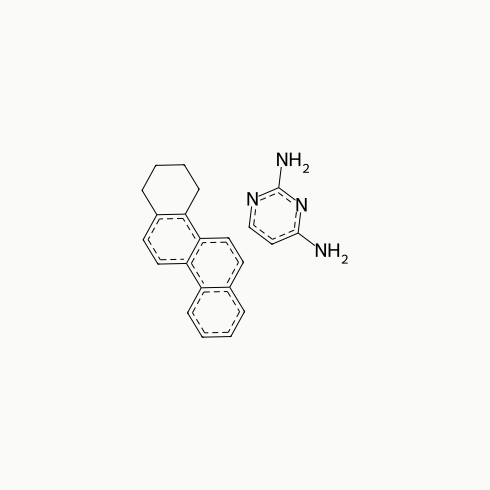 Nc1ccnc(N)n1.c1ccc2c(c1)ccc1c3c(ccc12)CCCC3